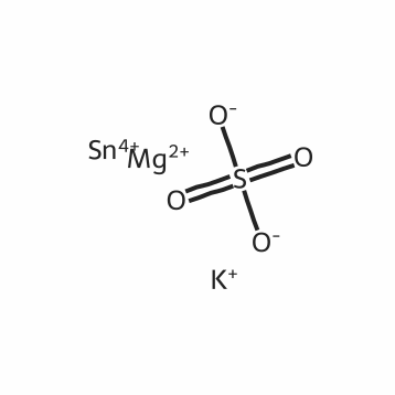 O=S(=O)([O-])[O-].[K+].[Mg+2].[Sn+4]